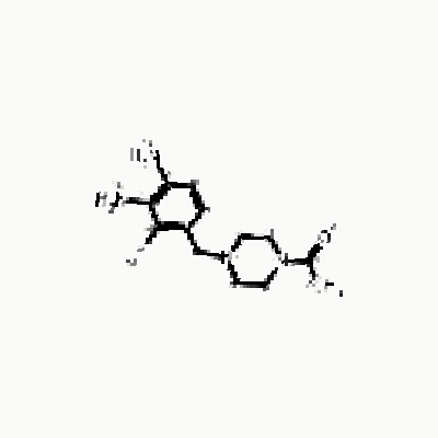 CC(=O)N1CCN(Cc2ccc(N)c(N)c2F)CC1